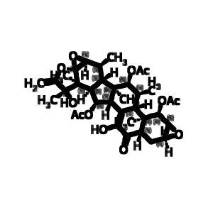 C=C1O[C@]23O[C@H]2[C@@H](C)[C@H]2[C@@H]([C@H](OC(C)=O)[C@H]4C5=C(O)C(=O)[C@H]6C[C@@H]7O[C@@H]7[C@H](OC(C)=O)[C@]6(C)[C@H]5[C@H](C)[C@H](OC(C)=O)[C@]24C)[C@@]3(C)[C@]1(C)O